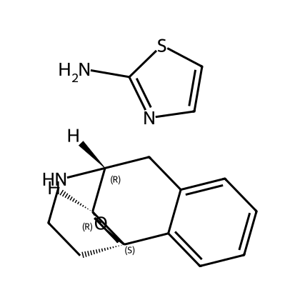 Nc1nccs1.c1ccc2c(c1)C[C@H]1NCC[C@@]23CCCO[C@@H]13